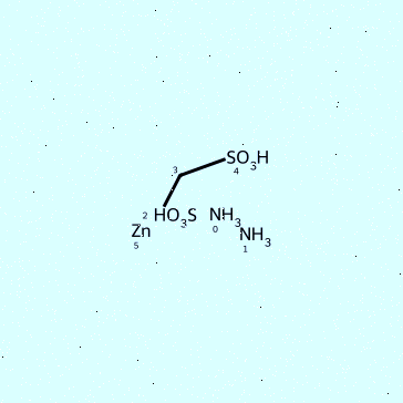 N.N.O=S(=O)(O)CS(=O)(=O)O.[Zn]